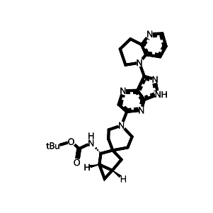 CC(C)(C)OC(=O)N[C@H]1[C@H]2C[C@H]2CC12CCN(c1cnc3c(N4CCCc5ncccc54)n[nH]c3n1)CC2